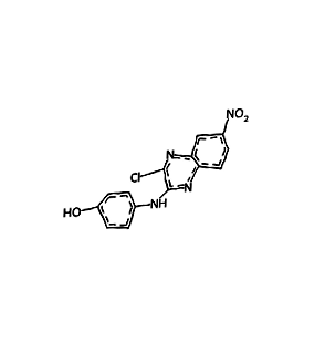 O=[N+]([O-])c1ccc2nc(Nc3ccc(O)cc3)c(Cl)nc2c1